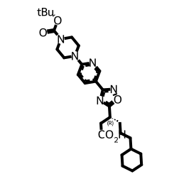 CC(C)(C)OC(=O)N1CCN(c2ccc(-c3noc([C@H](CCCC4CCCCC4)CC(=O)O)n3)cn2)CC1